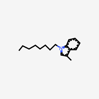 CCCCCCCCn1cc(C)c2ccccc21